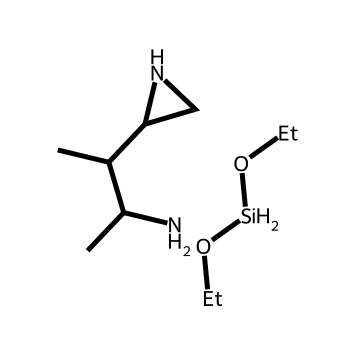 CC(N)C(C)C1CN1.CCO[SiH2]OCC